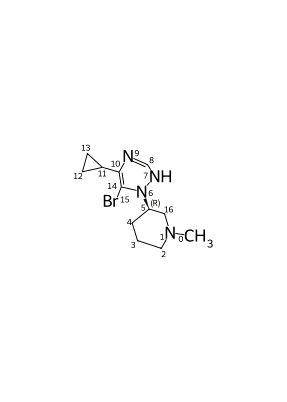 CN1CCC[C@@H](N2NC=NC(C3CC3)=C2Br)C1